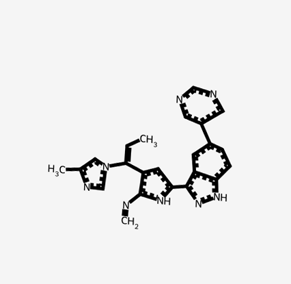 C=Nc1[nH]c(-c2n[nH]c3ccc(-c4cncnc4)cc23)cc1/C(=C\C)n1cnc(C)c1